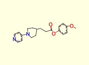 COc1ccc(OC(=O)CCC2CCN(c3ccncc3)CC2)cc1